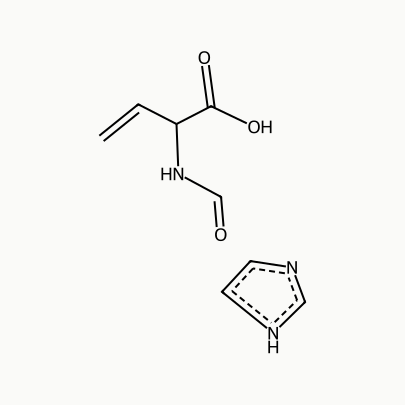 C=CC(NC=O)C(=O)O.c1c[nH]cn1